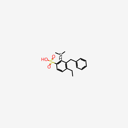 CCc1ccc(S(=O)(=O)O)c([SiH](C)C)c1Cc1ccccc1